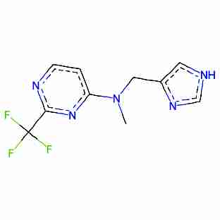 CN(Cc1c[nH]cn1)c1ccnc(C(F)(F)F)n1